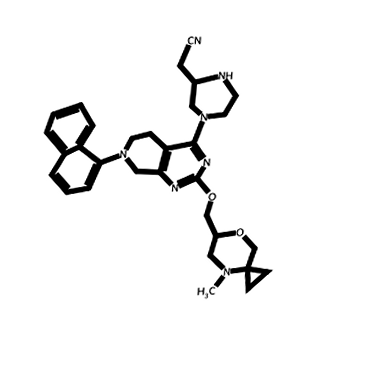 CN1CC(COc2nc3c(c(N4CCNC(CC#N)C4)n2)CCN(c2cccc4ccccc24)C3)OCC12CC2